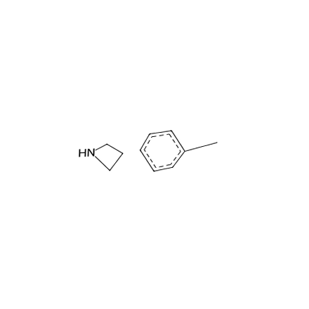 C1CNC1.Cc1ccccc1